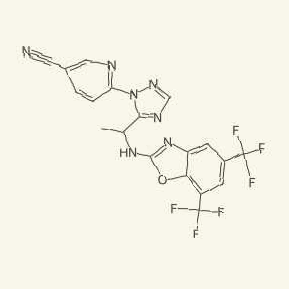 CC(Nc1nc2cc(C(F)(F)F)cc(C(F)(F)F)c2o1)c1ncnn1-c1ccc(C#N)cn1